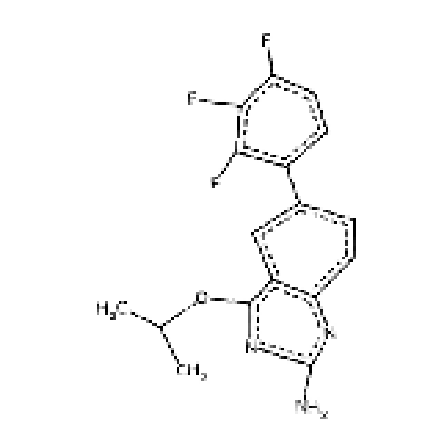 CC(C)Oc1nc(N)nc2ccc(-c3ccc(F)c(F)c3F)cc12